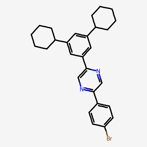 Brc1ccc(-c2cnc(-c3cc(C4CCCCC4)cc(C4CCCCC4)c3)cn2)cc1